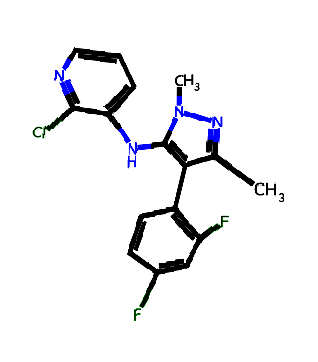 Cc1nn(C)c(Nc2cccnc2Cl)c1-c1ccc(F)cc1F